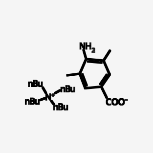 CCCC[N+](CCCC)(CCCC)CCCC.Cc1cc(C(=O)[O-])cc(C)c1N